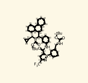 CC(C)(C)OC(=O)NCc1cccc(-n2nc(C(F)(F)F)cc2C(=O)Nc2cccc(C(c3cc4ccccc4c4ccccc34)N(CC3CC3)C(=O)OC(C)(C)C)c2)c1